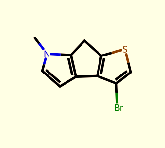 Cn1ccc2c1Cc1scc(Br)c1-2